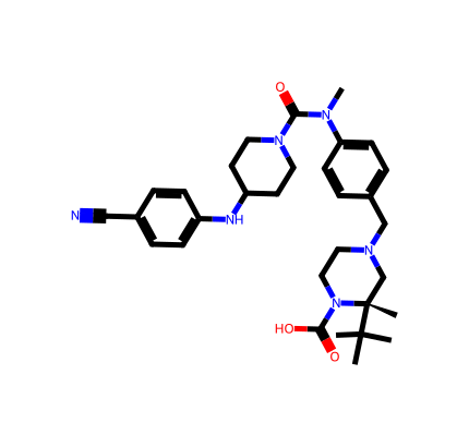 CN(C(=O)N1CCC(Nc2ccc(C#N)cc2)CC1)c1ccc(CN2CCN(C(=O)O)[C@@](C)(C(C)(C)C)C2)cc1